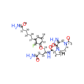 CC(=O)N1CC[C@H]2CC[C@@H](C(=O)N[C@@H](CCC(N)=O)COc3cc(C)cc(CCCCCC(N)=O)c3F)N2C(=O)[C@@H](N)C1